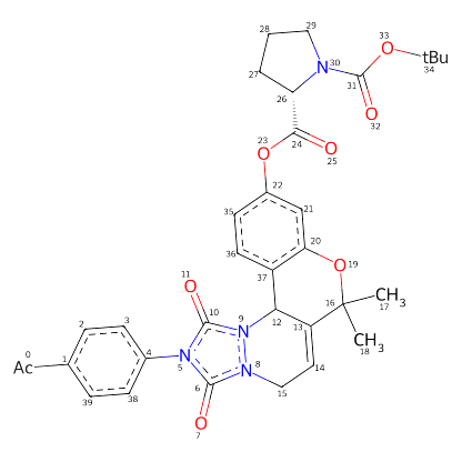 CC(=O)c1ccc(-n2c(=O)n3n(c2=O)C2C(=CC3)C(C)(C)Oc3cc(OC(=O)[C@@H]4CCCN4C(=O)OC(C)(C)C)ccc32)cc1